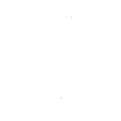 O=C1OCCCCCCOC(=O)C2CCC1CC2